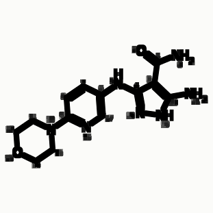 NC(=O)c1c(Nc2ccc(N3CCOCC3)nc2)n[nH]c1N